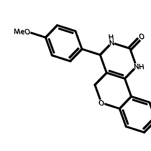 COc1ccc(C2NC(=O)NC3=C2COc2ccccc23)cc1